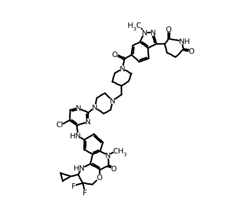 Cn1nc(C2CCC(=O)NC2=O)c2ccc(C(=O)N3CCC(CN4CCN(c5ncc(Cl)c(Nc6ccc7c(c6)c6c(c(=O)n7C)OCC(F)(F)C(C7CC7)N6)n5)CC4)CC3)cc21